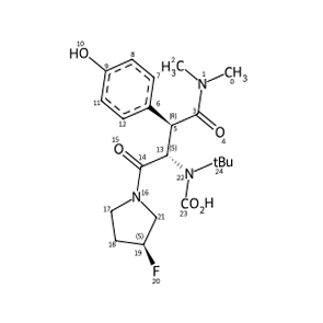 CN(C)C(=O)[C@H](c1ccc(O)cc1)[C@@H](C(=O)N1CC[C@H](F)C1)N(C(=O)O)C(C)(C)C